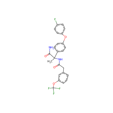 CC(NC(=O)Cc1cccc(OC(F)(F)F)c1)(C(N)=O)c1ccc(Oc2ccc(F)cc2)cc1